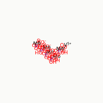 O=P(O)(O)[O][Mo](=[O])(=[O])[O-].O=P(O)(O)[O][Mo](=[O])(=[O])[O-].O=P(O)(O)[O][Mo](=[O])(=[O])[O-].O=P(O)(O)[O][Mo](=[O])(=[O])[O-].O=P(O)(O)[O][Mo](=[O])(=[O])[O-].[V+5]